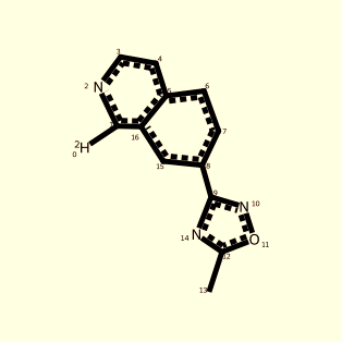 [2H]c1nccc2ccc(-c3noc(C)n3)cc12